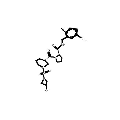 Cc1ccc(C(F)(F)F)cc1CNC(=O)[C@H]1CCCN1C(=O)[C@H]1CCCN(S(=O)(=O)N2CC(C#N)C2)C1